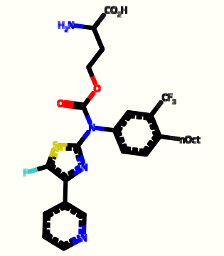 CCCCCCCCc1ccc(N(C(=O)OCCC(N)C(=O)O)c2nc(-c3cccnc3)c(F)s2)cc1C(F)(F)F